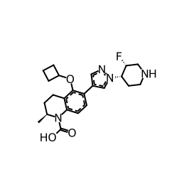 C[C@H]1CCc2c(ccc(-c3cnn([C@H]4CCNC[C@H]4F)c3)c2OC2CCC2)N1C(=O)O